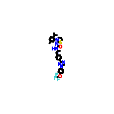 C/C(=C\c1ccc(-c2ncn(-c3ccc(OC(F)(F)F)cc3)n2)cc1)NC(=O)/N=C1\SCCCN1c1cc(C)ccc1C(C)C